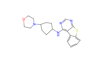 c1ccc2c(c1)sc1ncnc(NC3CCC(N4CCOCC4)CC3)c12